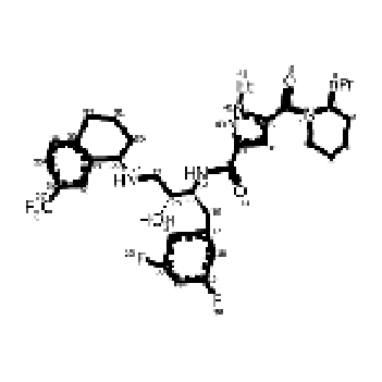 CCCC1CCCCN1C(=O)c1cc(C(=O)N[C@@H](Cc2cc(F)cc(F)c2)[C@H](O)CN[C@H]2CCCc3ccc(C(F)(F)F)cc32)nn1CC